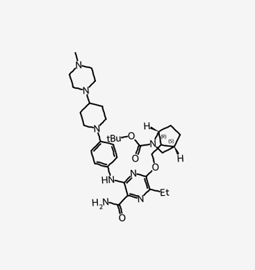 CCc1nc(C(N)=O)c(Nc2ccc(N3CCC(N4CCN(C)CC4)CC3)cc2)nc1OCC1[C@@H]2CC[C@H]1N(C(=O)OC(C)(C)C)C2